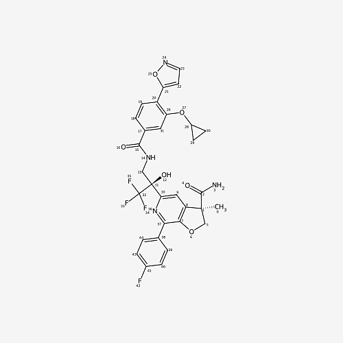 C[C@]1(C(N)=O)COc2c1cc([C@@](O)(CNC(=O)c1ccc(-c3ccno3)c(OC3CC3)c1)C(F)(F)F)nc2-c1ccc(F)cc1